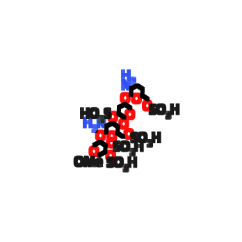 CO[C@H]1OC[C@H](O[C@H]2OC(COS(=O)(=O)O)[C@@H](O[C@@H]3OC[C@@H](O[C@H]4OC(COS(=O)(=O)O)CCC4N)CC3OS(=O)(=O)O)CC2N)C(OS(=O)(=O)O)C1OS(=O)(=O)O